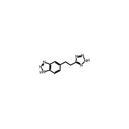 c1cc2[nH]nnc2cc1CCc1nn[nH]n1